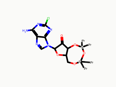 CC(C)[Si]1(C(C)C)OCC2OC(n3cnc4c(N)nc(Cl)nc43)C(=O)C2O[Si](C(C)C)(C(C)C)O1